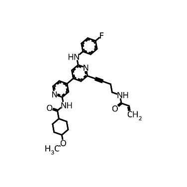 C=CC(=O)NCCC#Cc1cc(-c2ccnc(NC(=O)C3CCC(OC)CC3)c2)cc(Nc2ccc(F)cc2)n1